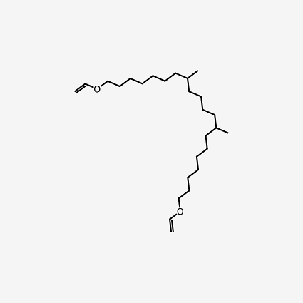 C=COCCCCCCCC(C)CCCCC(C)CCCCCCCOC=C